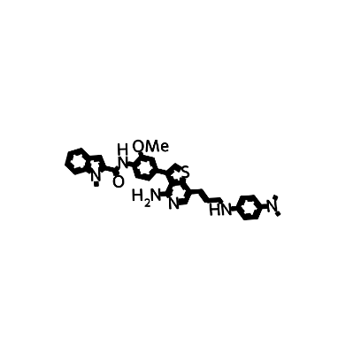 COc1cc(-c2csc3c(C=CCNc4ccc(N(C)C)cc4)cnc(N)c23)ccc1NC(=O)c1cc2ccccc2n1C